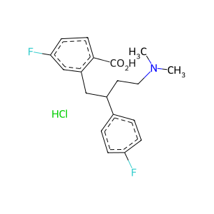 CN(C)CCC(Cc1cc(F)ccc1C(=O)O)c1ccc(F)cc1.Cl